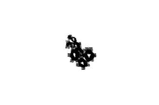 CCOC(/C=C(\C)C[PH](c1ccccc1)(c1ccccc1)c1ccccc1)OCC